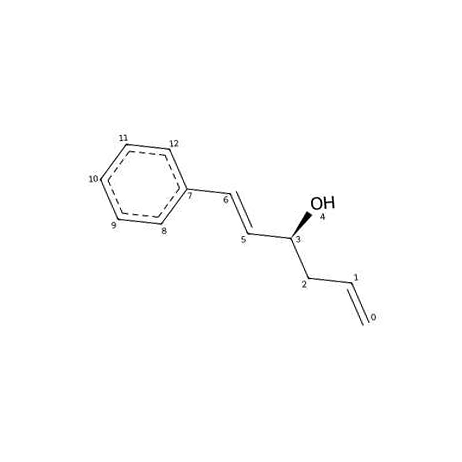 C=CC[C@H](O)/C=C/c1ccccc1